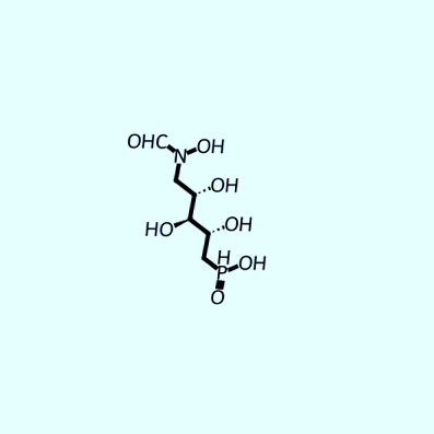 O=CN(O)C[C@H](O)[C@H](O)[C@H](O)C[PH](=O)O